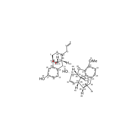 C=CCN1CC[C@]23CCCC[C@H]2[C@H]1Cc1ccc(O)cc13.COc1ccc2c3c1O[C@H]1[C@@H](O)C=C[C@H]4[C@@H](C2)N(C)CC[C@@]341